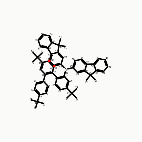 CC(C)(C)c1ccc(-c2cc(C(C)(C)C)ccc2-c2ccc(C(C)(C)C)cc2N(c2ccc3c(c2)C(C)(C)c2ccccc2-3)c2ccc3c(c2)C(C)(C)c2ccccc2-3)cc1